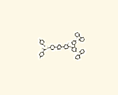 Cc1ccc(-c2cc(-c3ccc(-c4ccc(-c5ccc(-n6c7ccc(-n8c9ccccc9c9ccccc98)cc7c7cc(-n8c9ccccc9c9ccccc98)ccc76)c(C)c5)cc4)cc3)nc(-c3ccc(C)cc3)n2)cc1